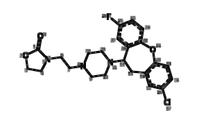 O=C1OCCN1CCN1CCN(C2Cc3cc(Cl)ccc3Oc3ccc(F)cc32)CC1